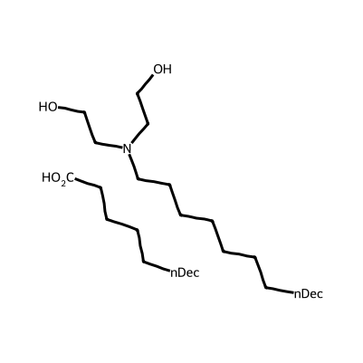 CCCCCCCCCCCCCCC(=O)O.CCCCCCCCCCCCCCCCCN(CCO)CCO